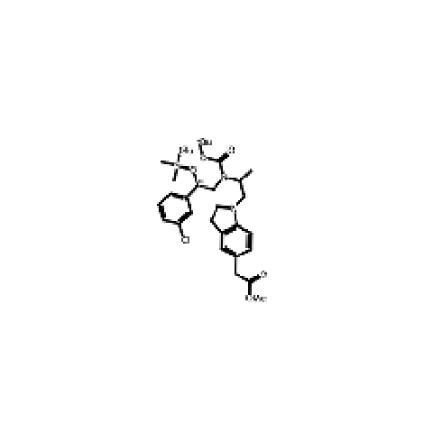 COC(=O)Cc1ccc2c(c1)CCN2CC(C)N(C[C@H](O[Si](C)(C)C(C)(C)C)c1cccc(Cl)c1)C(=O)OC(C)(C)C